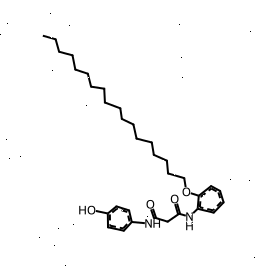 CCCCCCCCCCCCCCCCCCOc1ccccc1NC(=O)CC(=O)Nc1ccc(O)cc1